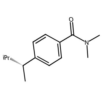 CC(C)[C@@H](C)c1ccc(C(=O)N(C)C)cc1